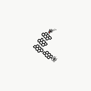 O=P([O-])([O-])[O-].[F-].[Mn+2].[N-3].[S]=[W].c1cc2ccc3cc4cccc5ccc6cc(c1)c2c3c6c54.c1cc2ccc3cc4cccc5ccc6cc(c1)c2c3c6c54.c1cc2ccc3cc4cccc5ccc6cc(c1)c2c3c6c54.c1cc2ccc3cc4cccc5ccc6cc(c1)c2c3c6c54